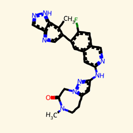 Cc1c(-c2cc3cc(Nc4cc5n(n4)CC(=O)N(C)CC5)ncc3cc2F)cnc2cn[nH]c12